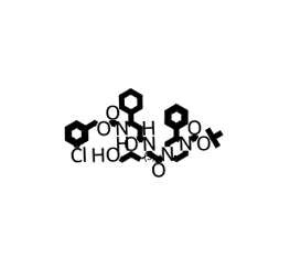 CC(C)(C)OC(=O)N1CCN(C(=O)[C@H](CCCO)NC(=O)CC(NC(=O)OCc2cccc(Cl)c2)C2CCCCC2)CC1c1ccccc1